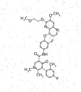 COCCOc1nc2c(Oc3ccc(NC(=O)c4cn(C)c(C)c(-c5ccc(F)cc5C)c4=O)cc3F)ccnc2cc1OC